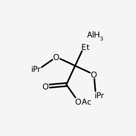 CCC(OC(C)C)(OC(C)C)C(=O)OC(C)=O.[AlH3]